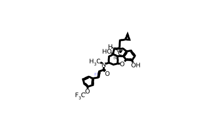 CN(C(=O)/C=C/c1cccc(OC(F)(F)F)c1)C1CC2Oc3c(O)ccc4c3[C@@]23CCN(CC2CC2)[C@H](C4)[C@]3(O)C1